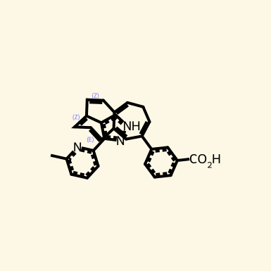 Cc1cccc(-c2n[nH]cc2C2=C\C=C\C3=CC(c4cccc(C(=O)O)c4)=CCC=C3/C=C\2)n1